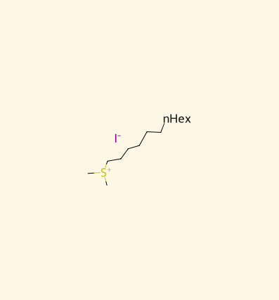 CCCCCCCCCCCC[S+](C)C.[I-]